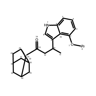 CC(C)Oc1cccc2[nH]cc(C(C)CC(=O)N3C4CC5CC(C4)CC3C5)c12